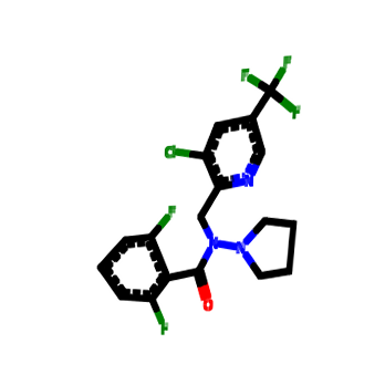 O=C(c1c(F)cccc1F)N(Cc1ncc(C(F)(F)F)cc1Cl)N1CCCC1